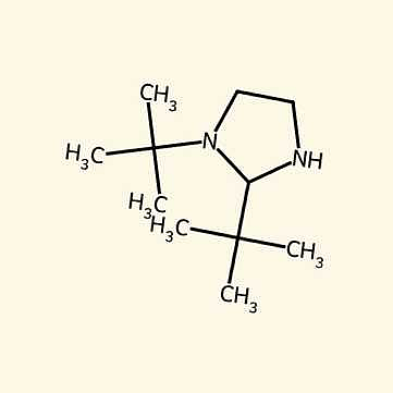 CC(C)(C)C1NCCN1C(C)(C)C